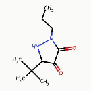 CCCN1NC(C(C)(C)C)C(=O)C1=O